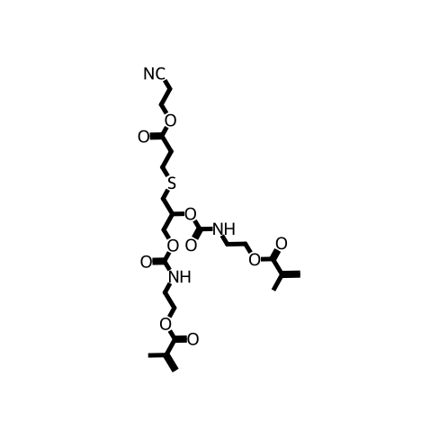 C=C(C)C(=O)OCCNC(=O)OCC(CSCCC(=O)OCCC#N)OC(=O)NCCOC(=O)C(=C)C